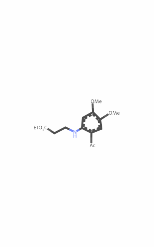 CCOC(=O)CCNc1cc(OC)c(OC)cc1C(C)=O